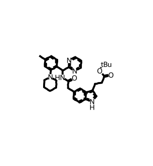 Cc1ccc(C(NC(=O)Cc2ccc3[nH]cc(CCC(=O)OC(C)(C)C)c3c2)c2ncccn2)c(N2CCCCC2)c1